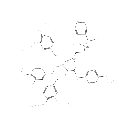 COc1ccc(OC2O[C@H](CCP(=O)(O)C(O)c3ccccc3)[C@@H](OCc3ccc(OC)c(OC)c3)[C@H](OCc3ccc(OC)c(OC)c3)[C@@H]2OCc2ccc(OC)c(OC)c2)cc1